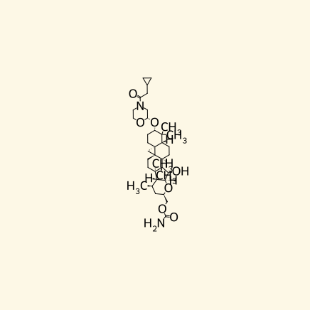 C[C@@H]1C[C@H](COC(N)=O)O[C@H]2[C@H]1[C@@]1(C)CC[C@@]34C[C@@]35CC[C@H](O[C@H]3CN(C(=O)CC6CC6)CCO3)C(C)(C)[C@@H]5CC[C@H]4[C@]1(C)[C@H]2O